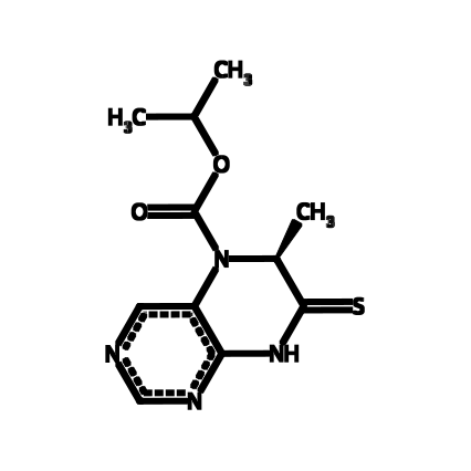 CC(C)OC(=O)N1c2cncnc2NC(=S)[C@@H]1C